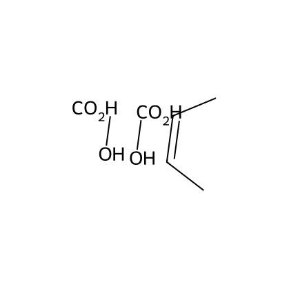 C/C=C\C.O=C(O)O.O=C(O)O